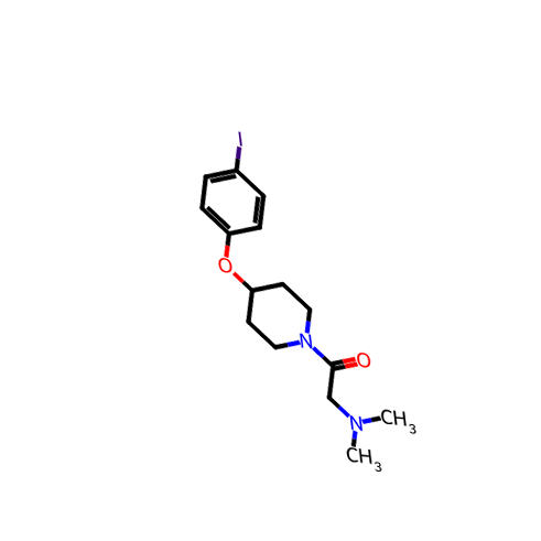 CN(C)CC(=O)N1CCC(Oc2ccc(I)cc2)CC1